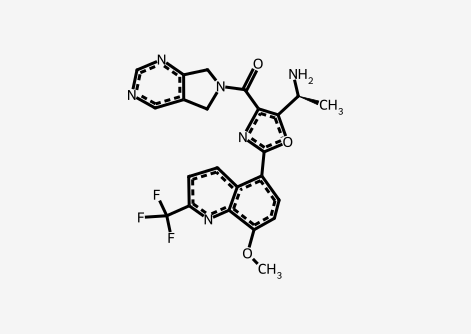 COc1ccc(-c2nc(C(=O)N3Cc4cncnc4C3)c([C@H](C)N)o2)c2ccc(C(F)(F)F)nc12